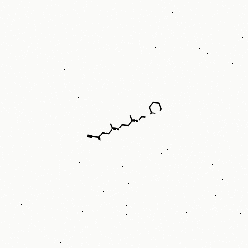 C#CC(=O)CC/C(C)=C/CC/C(C)=C/COC1CCCCO1